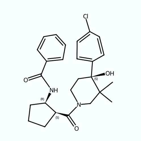 CC1(C)CN(C(=O)[C@H]2CCC[C@H]2NC(=O)c2ccccc2)CC[C@]1(O)c1ccc(Cl)cc1